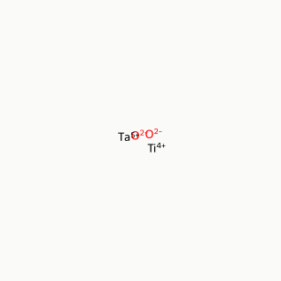 [O-2].[O-2].[Ta+5].[Ti+4]